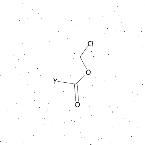 O=[C]([Y])OCCl